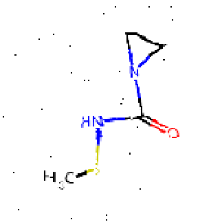 CSNC(=O)N1CC1